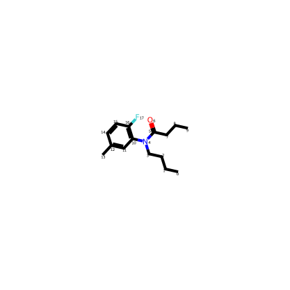 CCCCN(C(=O)CCC)c1cc(C)ccc1F